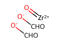 O=C[O-].O=C[O-].[O]=[Zr+2]